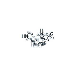 CC(=O)c1ccc2c(-c3nc(N[C@H]4CCCNC4)ncc3C(F)(F)F)c[nH]c2c1